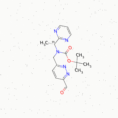 C[C@H](c1ncccn1)N(Cc1ccc(C=O)nn1)C(=O)OC(C)(C)C